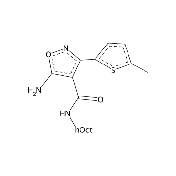 CCCCCCCCNC(=O)c1c(-c2ccc(C)s2)noc1N